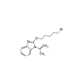 C=C(C)n1c(OCCCCCBr)nc2ccccc21